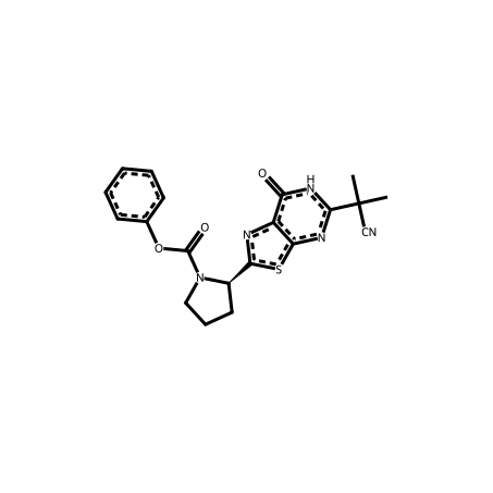 CC(C)(C#N)c1nc2sc([C@H]3CCCN3C(=O)Oc3ccccc3)nc2c(=O)[nH]1